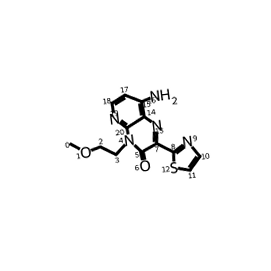 COCCn1c(=O)c(-c2nccs2)nc2c(N)ccnc21